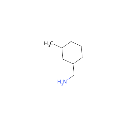 CC1CCC[C](CN)C1